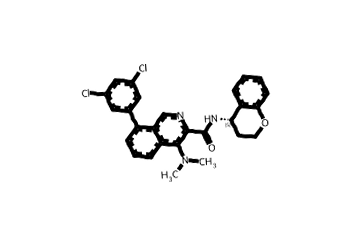 CN(C)c1c(C(=O)N[C@H]2CCOc3ccccc32)ncc2c(-c3cc(Cl)cc(Cl)c3)cccc12